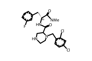 CNC(=O)[C@@H](Cc1cccc(F)c1)NC(=O)C1CNCCN1Cc1ccc(Cl)cc1Cl